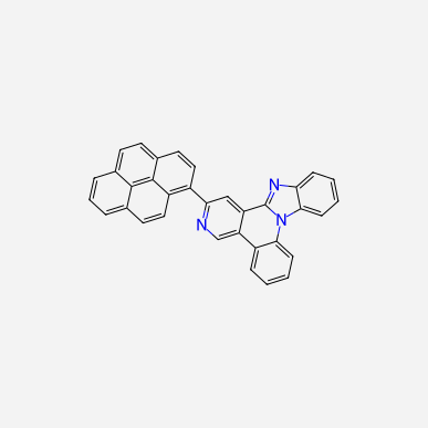 c1cc2ccc3ccc(-c4cc5c(cn4)c4ccccc4n4c6ccccc6nc54)c4ccc(c1)c2c34